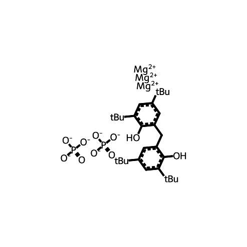 CC(C)(C)c1cc(Cc2cc(C(C)(C)C)cc(C(C)(C)C)c2O)c(O)c(C(C)(C)C)c1.O=P([O-])([O-])[O-].O=P([O-])([O-])[O-].[Mg+2].[Mg+2].[Mg+2]